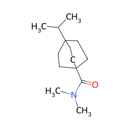 CC(C)C12CCC(C(=O)N(C)C)(CC1)CC2